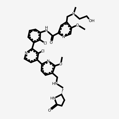 COc1cnc(C(=O)Nc2cccc(-c3nccc(-c4ccc(CNC[C@@H]5CCC(=O)N5)c(OC)n4)c3Cl)c2Cl)cc1CN(C)CCO